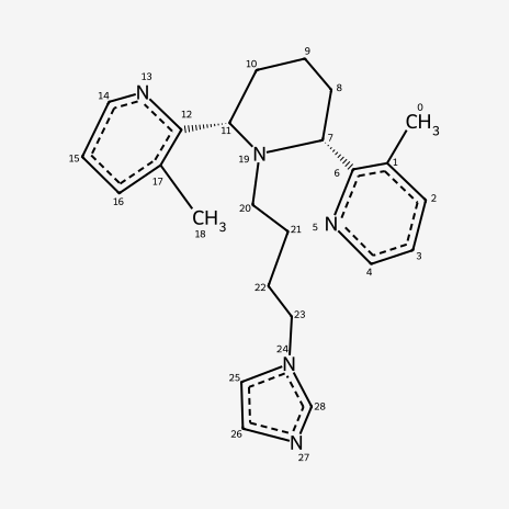 Cc1cccnc1[C@H]1CCC[C@@H](c2ncccc2C)N1CCCCn1ccnc1